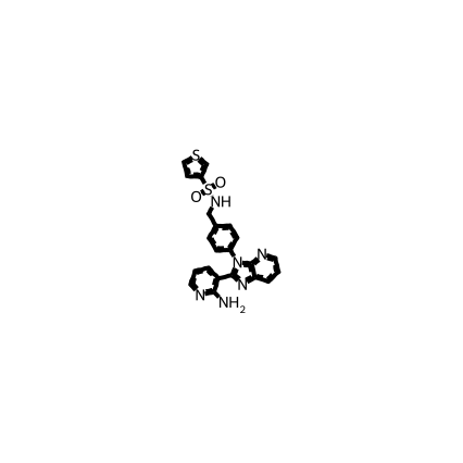 Nc1ncccc1-c1nc2cccnc2n1-c1ccc(CNS(=O)(=O)c2ccsc2)cc1